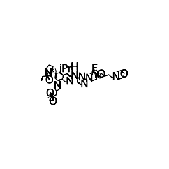 C=CC(=O)N1CCC[C@@H]1c1cc(N2CC(CS(C)(=O)=O)C2)c2cnc(Nc3ccnc(N4CC[C@@H](OCCCN5CCOCC5)[C@@H](F)C4)n3)cc2c1C(C)C